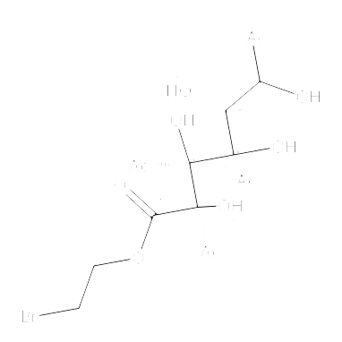 CC(=O)C(O)[C@@H](O)[C@](O)(C(C)=O)[C@@](O)(C(C)=O)[C@](O)(C(C)=O)C(=O)OCCBr